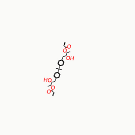 C=CC(=O)OC(C)C(O)Cc1ccc(C(C)(C)c2ccc(CC(O)C(C)OC(=O)C=C)cc2)cc1